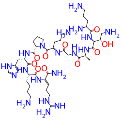 C[C@H](NC(=O)[C@@H](NC(=O)[C@@H](N)CCCN)[C@@H](O)CN)C(=O)NCC(=O)/N=C(\CCCN)C(=O)N1CCC[C@H]1C(=O)N[C@@H](Cc1cnc[nH]1)C(=O)N[C@@H](CCCCN)C(=O)N/C(=C\CCNC(=N)N)C(N)=O